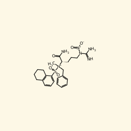 C[N+](Cc1ccccc1)([C@@H](CCCN(C(=N)N)[N+](=O)[O-])C(N)=O)S(=O)(=O)c1cccc2c1CCCC2